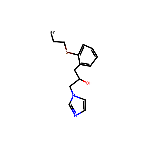 CC(C)CCSc1ccccc1CC(O)Cn1ccnc1